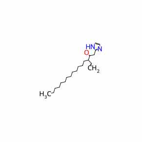 C=CC(CCCCCCCCCCCCC)C(=O)Cc1ncc[nH]1